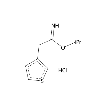 CC(C)OC(=N)Cc1ccsc1.Cl